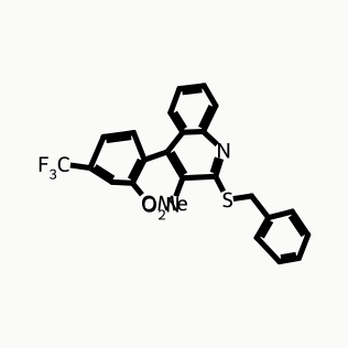 COc1cc(C(F)(F)F)ccc1-c1c([N+](=O)[O-])c(SCc2ccccc2)nc2ccccc12